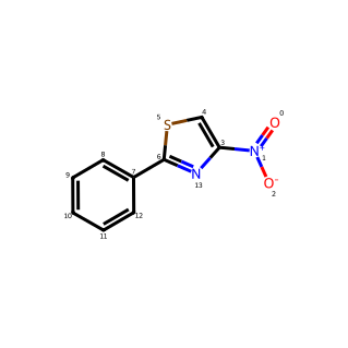 O=[N+]([O-])c1csc(-c2ccccc2)n1